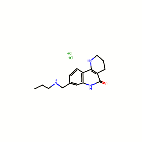 CCCNCc1ccc2c3c(c(=O)[nH]c2c1)CCCN3.Cl.Cl